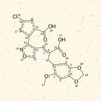 COc1cc2c(cc1C/C(=C\c1conc1-c1sc(Cl)cc1C(=O)O)C(=O)O)OCO2